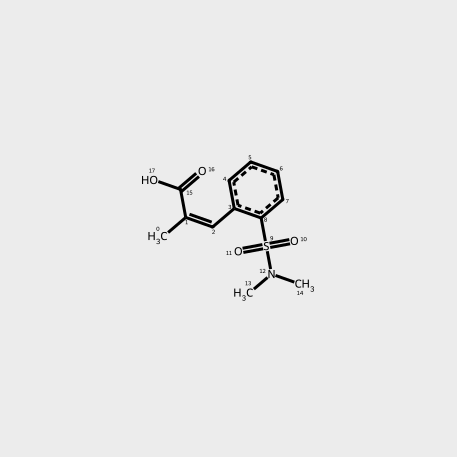 CC(=Cc1ccccc1S(=O)(=O)N(C)C)C(=O)O